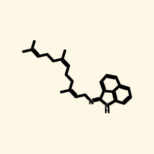 CC(C)=CCCC(C)=CCCC(C)=CCN=C1Nc2cccc3cccc1c23